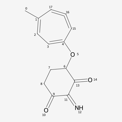 CC1=CC=C(OC2CCC(=O)C(=N)C2=O)C=C=C1